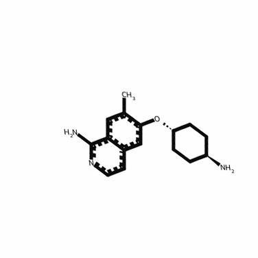 Cc1cc2c(N)nccc2cc1O[C@H]1CC[C@H](N)CC1